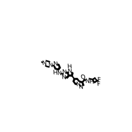 CN1CCN(c2cc(Nc3ncc4c(-c5ccn6ncc(C(=O)NCC7CC(F)(F)C7)c6c5)c[nH]c4n3)ccn2)CC1